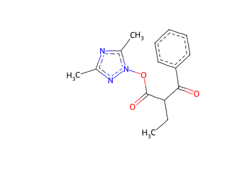 CCC(C(=O)On1nc(C)nc1C)C(=O)c1ccccc1